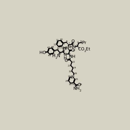 CCOC(=O)[C@H](CC(C)C)NC(=O)[C@H](Cc1ccccc1)NC(=O)[C@@H](NC(=O)CCCCCN1C=CCC(C(N)=O)=C1)NC(=O)[C@@H](N)Cc1ccc(O)cc1